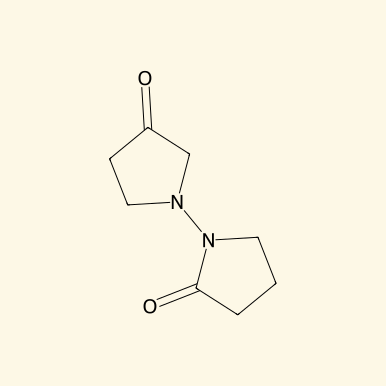 O=C1CCN(N2CCCC2=O)C1